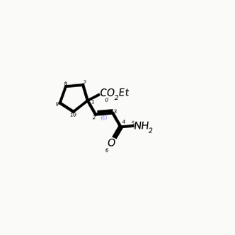 CCOC(=O)C1(/C=C/C(N)=O)CCCC1